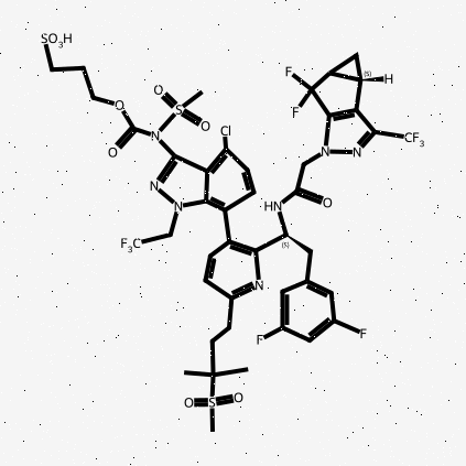 CC(C)(CCc1ccc(-c2ccc(Cl)c3c(N(C(=O)OCCCS(=O)(=O)O)S(C)(=O)=O)nn(CC(F)(F)F)c23)c([C@H](Cc2cc(F)cc(F)c2)NC(=O)Cn2nc(C(F)(F)F)c3c2C(F)(F)C2C[C@H]32)n1)S(C)(=O)=O